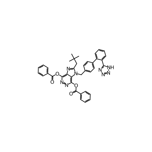 CC(C)(C)Cc1nc2c(OC(=O)c3ccccc3)nnc(OC(=O)c3ccccc3)c2n1Cc1ccc(-c2ccccc2-c2nnn[nH]2)cc1